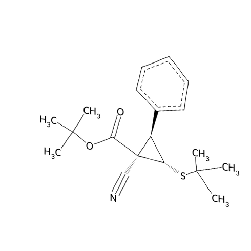 CC(C)(C)OC(=O)[C@]1(C#N)[C@@H](SC(C)(C)C)[C@@H]1c1ccccc1